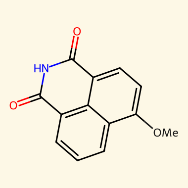 COc1ccc2c3c(cccc13)C(=O)NC2=O